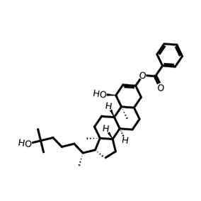 C[C@H](CCCC(C)(C)O)[C@H]1CC[C@H]2[C@@H]3CCC4CC(OC(=O)c5ccccc5)=C[C@H](O)[C@]4(C)[C@H]3CC[C@]12C